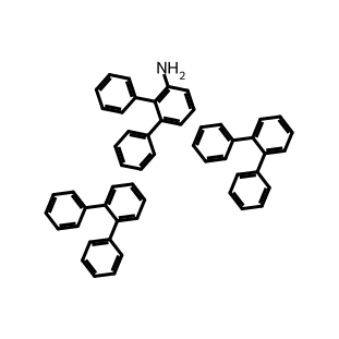 Nc1cccc(-c2ccccc2)c1-c1ccccc1.c1ccc(-c2ccccc2-c2ccccc2)cc1.c1ccc(-c2ccccc2-c2ccccc2)cc1